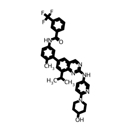 Cc1ccc(NC(=O)c2cccc(C(F)(F)F)c2)cc1-c1cc(C(C)C)c2nc(Nc3ccc(N4CCC(O)CC4)nc3)ncc2c1